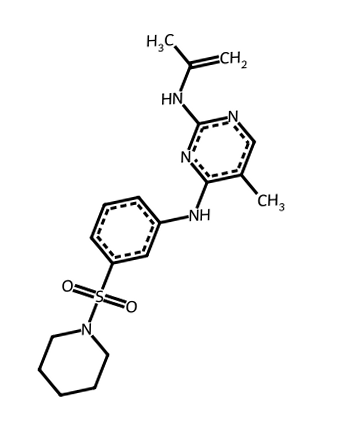 C=C(C)Nc1ncc(C)c(Nc2cccc(S(=O)(=O)N3CCCCC3)c2)n1